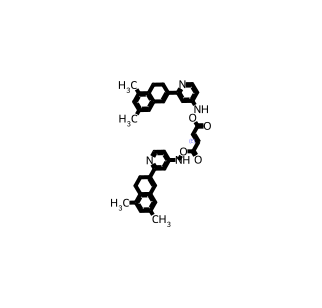 Cc1cc(C)c2c(c1)C=C(c1cc(NOC(=O)/C=C/C(=O)ONc3ccnc(C4=Cc5cc(C)cc(C)c5CC4)c3)ccn1)CC2